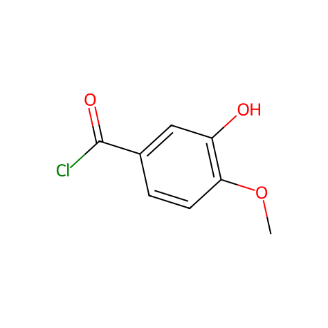 COc1ccc(C(=O)Cl)cc1O